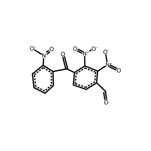 O=[C]c1ccc(C(=O)c2ccccc2[N+](=O)[O-])c([N+](=O)[O-])c1[N+](=O)[O-]